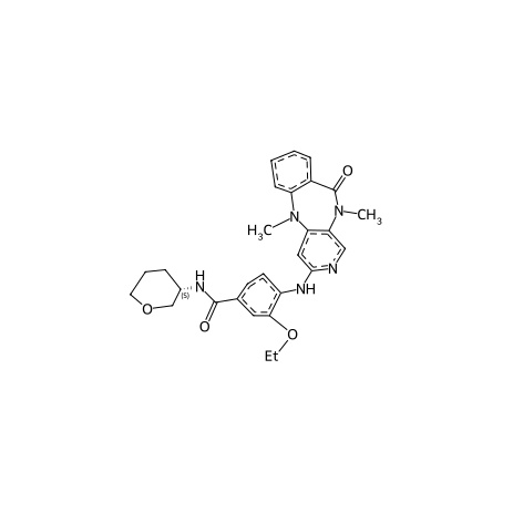 CCOc1cc(C(=O)N[C@H]2CCCOC2)ccc1Nc1cc2c(cn1)N(C)C(=O)c1ccccc1N2C